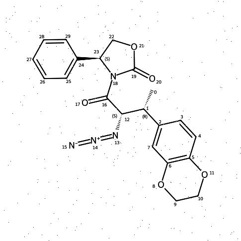 C[C@H](c1ccc2c(c1)OCCO2)[C@H](N=[N+]=[N-])C(=O)N1C(=O)OC[C@@H]1c1ccccc1